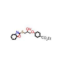 CCOC(=O)c1ccc(OCC(O)CSc2nc3ccccc3o2)cc1